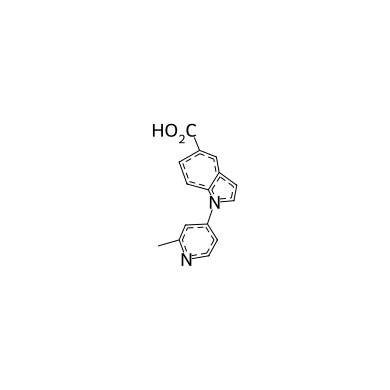 Cc1cc(-n2ccc3cc(C(=O)O)ccc32)ccn1